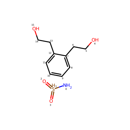 N[SH](=O)=O.OCCc1ccccc1CCO